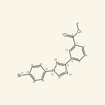 COC(=O)c1cccc(-c2ncn(-c3ccc(Br)cc3)n2)c1